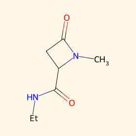 CCNC(=O)C1CC(=O)N1C